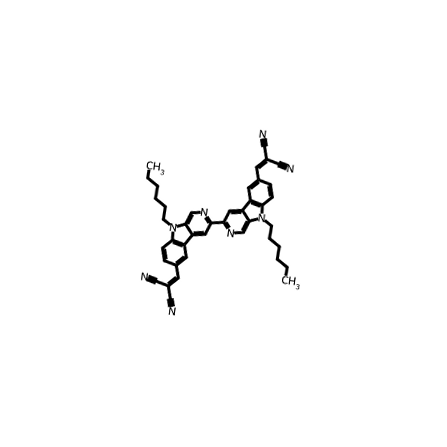 CCCCCCn1c2ccc(C=C(C#N)C#N)cc2c2cc(-c3cc4c5cc(C=C(C#N)C#N)ccc5n(CCCCCC)c4cn3)ncc21